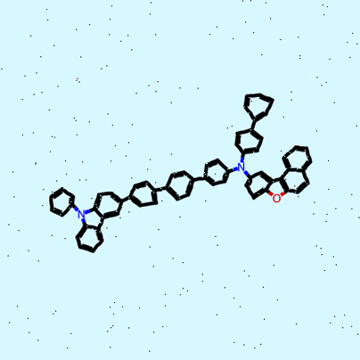 c1ccc(-c2ccc(N(c3ccc(-c4ccc(-c5ccc(-c6ccc7c(c6)c6ccccc6n7-c6ccccc6)cc5)cc4)cc3)c3ccc4oc5ccc6ccccc6c5c4c3)cc2)cc1